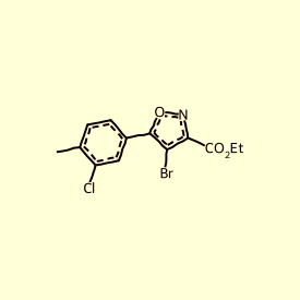 CCOC(=O)c1noc(-c2ccc(C)c(Cl)c2)c1Br